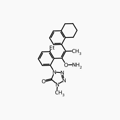 CCc1cccc(-n2nnn(C)c2=O)c1/C(ON)=C(/C)c1cccc2c1CCCC2